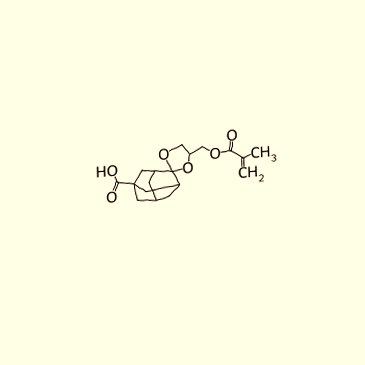 C=C(C)C(=O)OCC1COC2(O1)C1CC3CC2CC(C(=O)O)(C3)C1